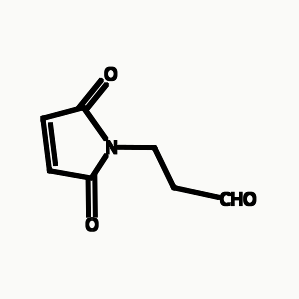 O=CCCN1C(=O)C=CC1=O